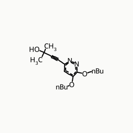 CCCCOc1cc(C#CC(C)(C)O)nnc1OCCCC